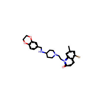 Cc1cc(Br)c2ccc(=O)n(CCN3CCC(NCc4ccc5c(c4)OCCO5)CC3)c2c1